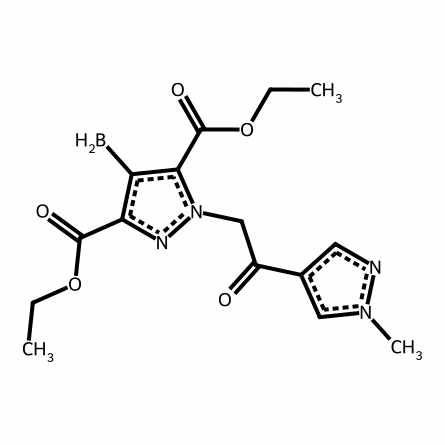 Bc1c(C(=O)OCC)nn(CC(=O)c2cnn(C)c2)c1C(=O)OCC